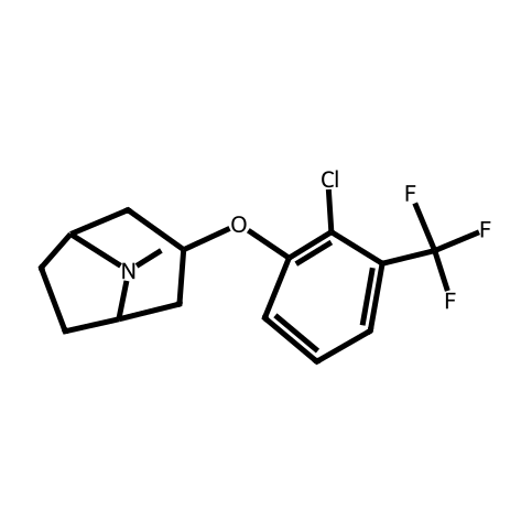 CN1C2CCC1CC(Oc1cccc(C(F)(F)F)c1Cl)C2